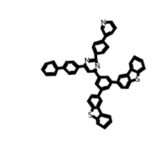 c1ccc(-c2ccc(-c3cc(-c4cc(-c5ccc6sc7ccccc7c6c5)cc(-c5ccc6sc7ccccc7c6c5)c4)nc(-c4ccc(-c5cccnc5)cc4)n3)cc2)cc1